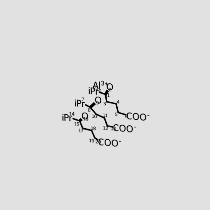 CC(C)C(=O)CCCC(=O)[O-].CC(C)C(=O)CCCC(=O)[O-].CC(C)C(=O)CCCC(=O)[O-].[Al+3]